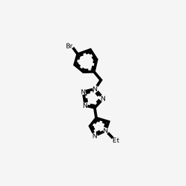 CCn1cc(-c2nnn(Cc3ccc(Br)cc3)n2)cn1